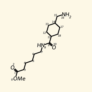 COC(=O)CCCCCNC(=O)C1CCC(CN)CC1